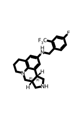 Fc1ccc(CNc2cc3c4c(c2)[C@@H]2CNC[C@@H]2CN4CCC3)c(C(F)(F)F)c1